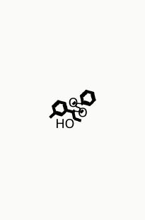 Cc1cccc(C(C(C)O)S(=O)(=O)c2ccccc2)c1